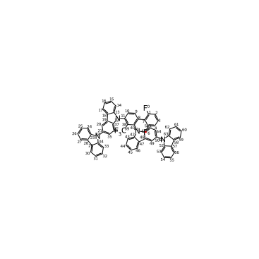 Fc1cccc(F)c1-c1ccc(-n2c3ccccc3c3cc(-n4c5ccccc5c5ccccc54)ccc32)c(C(F)(F)F)c1-n1c2ccccc2c2cc(-n3c4ccccc4c4ccccc43)ccc21